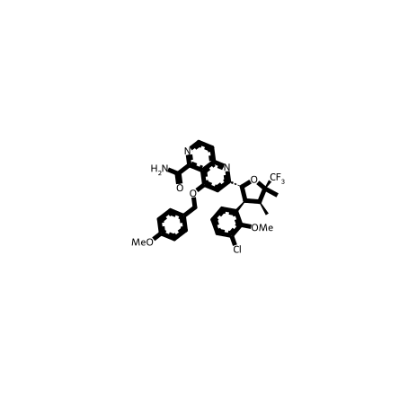 COc1ccc(COc2cc([C@@H]3O[C@@](C)(C(F)(F)F)[C@@H](C)[C@H]3c3cccc(Cl)c3OC)nc3ccnc(C(N)=O)c23)cc1